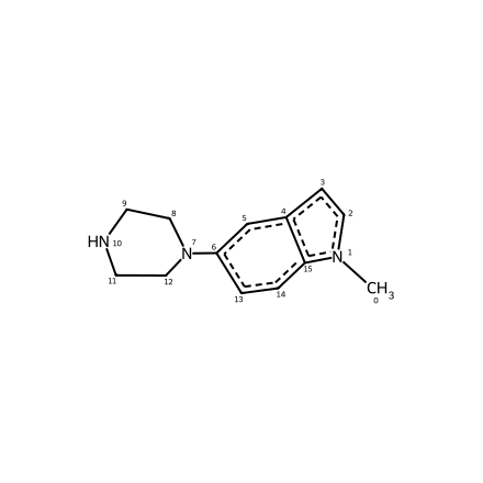 Cn1ccc2cc(N3CCNCC3)ccc21